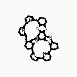 c1cc2nc(c1)c1cccc3nc4c5nc6cccc7c8cccc(n8)c8cccc(n8)c8ccc(c9cccc2n9)c2nc(c4nc31)c(nc82)c5nc67